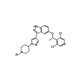 CC(Oc1ccc2[nH]nc(-c3cnn(C4CCN(C(C)C)CC4)c3)c2c1)c1c(Cl)cncc1Cl